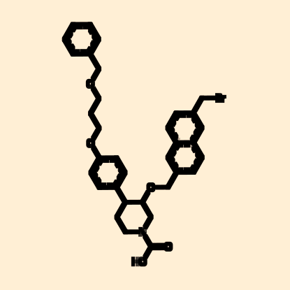 O=C(O)N1CCC(c2ccc(OCCCOCc3ccccc3)cc2)C(OCc2ccc3cc(CBr)ccc3c2)C1